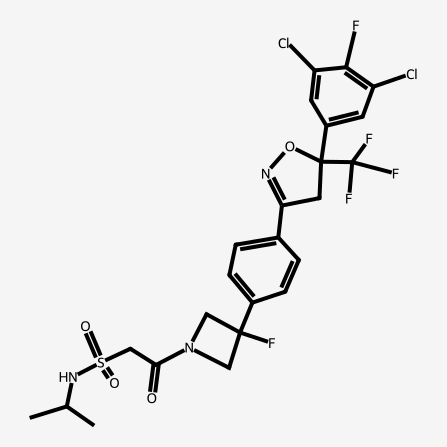 CC(C)NS(=O)(=O)CC(=O)N1CC(F)(c2ccc(C3=NOC(c4cc(Cl)c(F)c(Cl)c4)(C(F)(F)F)C3)cc2)C1